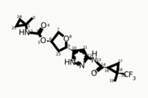 CC1(NC(=O)O[C@@H]2CO[C@H](c3cc(NC(=O)[C@@H]4C[C@@]4(C)C(F)(F)F)n[nH]3)C2)CC1